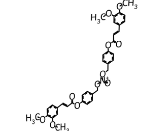 COc1ccc(/C=C/C(=O)Oc2ccc(CO[N+](=O)OCc3ccc(OC(=O)/C=C/c4ccc(OC)c(OC)c4)cc3)cc2)cc1OC